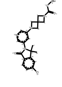 CC(C)(C)OC(=O)N1CC2(C1)CN(c1cncc(N3C(=O)c4ccc(Cl)cc4C3(C)C)c1)C2